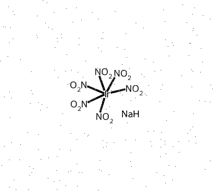 O=[N+]([O-])[Ir]([N+](=O)[O-])([N+](=O)[O-])([N+](=O)[O-])([N+](=O)[O-])[N+](=O)[O-].[NaH]